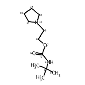 CC(C)(C)NC(=O)OCCN1CCCC1